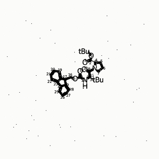 CC(C)(C)OC(=O)[C@@H]1CCCN1C(=O)[C@@H](NC(=O)OCC1c2ccccc2-c2ccccc21)C(C)(C)C